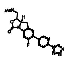 CNCC1OC(=O)N2c3cc(F)c(-c4ccc(-n5cnnn5)nc4)cc3C[C@@H]12